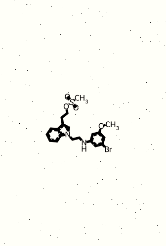 COc1cc(Br)cc(NCCn2cc(CCOS(C)(=O)=O)c3ccccc32)c1